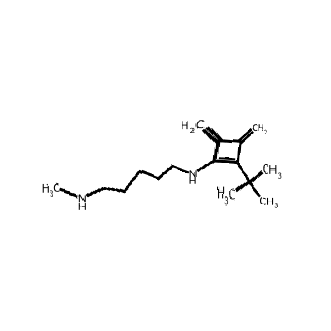 C=C1C(=C)C(C(C)(C)C)=C1NCCCCCNC